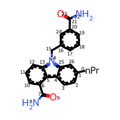 CCCc1c[c]c2c3c(C(N)=O)cccc3n(Cc3cccc(C(N)=O)c3)c2c1